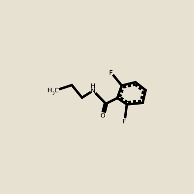 CCCNC(=O)c1c(F)cccc1F